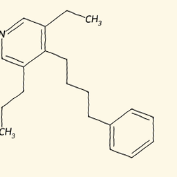 CCCc1cncc(CC)c1CCCCc1ccccc1